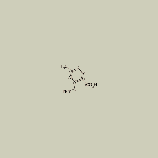 N#CCc1nc(C(F)(F)F)ccc1C(=O)O